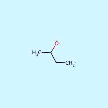 [CH2]CC(C)[O]